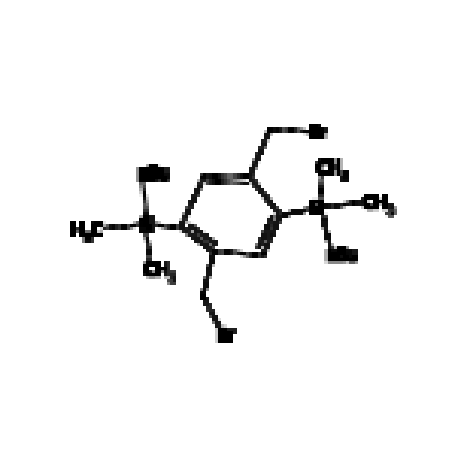 CCCC[Si](C)(C)c1cc(CBr)c([Si](C)(C)CCCC)cc1CBr